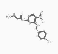 CNCC(=O)Nc1ncc([N+](=O)[O-])c(NC[C@H]2CC[C@H](N)CC2)n1